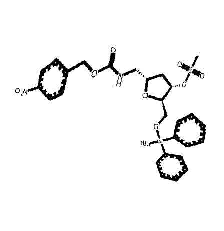 CC(C)(C)[Si](OC[C@H]1O[C@H](CNC(=O)OCc2ccc([N+](=O)[O-])cc2)C[C@@H]1OS(C)(=O)=O)(c1ccccc1)c1ccccc1